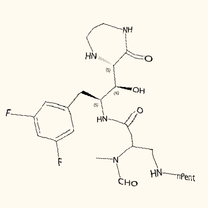 CCCCCNCC(C(=O)N[C@@H](Cc1cc(F)cc(F)c1)[C@H](O)[C@@H]1NCCNC1=O)N(C)C=O